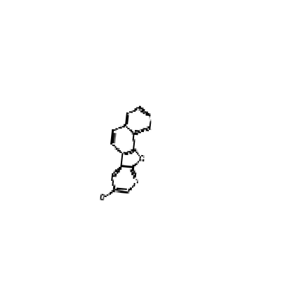 Clc1cnc2oc3c4ccccc4ccc3c2c1